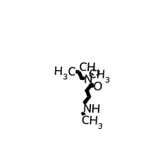 CCNCCCC(=O)N(C)CC(C)C